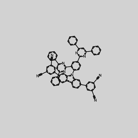 N#Cc1cc(C#N)cc(-c2ccc3c4ccc(-c5cc(C#N)cc(C#N)c5)cc4n(-c4ccc(-c5nc(-c6ccccc6)cc(-c6ccccc6)n5)cc4-c4nc(-c5ccccc5)cc(-c5ccccc5)n4)c3c2)c1